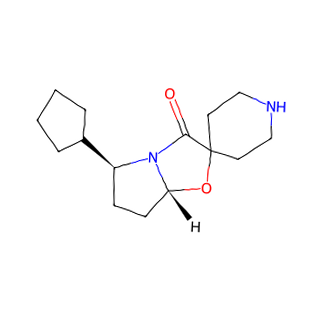 O=C1N2[C@@H](CC[C@H]2C2CCCC2)OC12CCNCC2